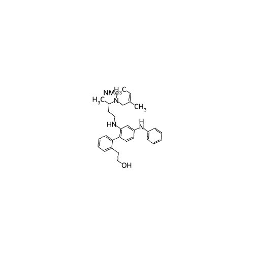 C/C=C(/C)CN(NC)C(C)CCNc1cc(Nc2ccccc2)ccc1-c1ccccc1CCO